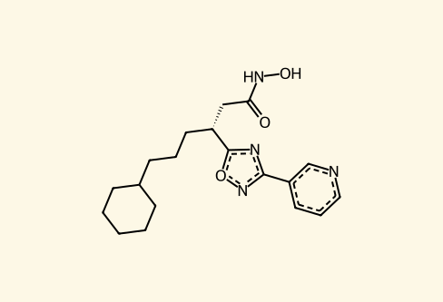 O=C(C[C@@H](CCCC1CCCCC1)c1nc(-c2cccnc2)no1)NO